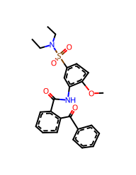 CCN(CC)S(=O)(=O)c1ccc(OC)c(NC(=O)c2ccccc2C(=O)c2ccccc2)c1